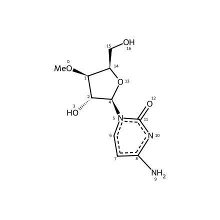 CO[C@@H]1[C@@H](O)[C@H](n2ccc(N)nc2=O)O[C@@H]1CO